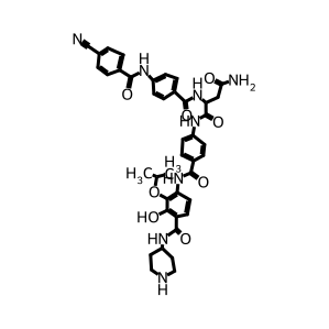 CC(C)Oc1c(NC(=O)c2ccc(NC(=O)C(CC(N)=O)NC(=O)c3ccc(NC(=O)c4ccc(C#N)cc4)cc3)cc2)ccc(C(=O)NC2CCNCC2)c1O